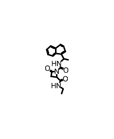 CCNC(=O)C1CC(=O)N1C(=O)NC(C)c1cccc2ccccc12